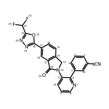 N#Cc1cccc(-c2ncccc2N2Cc3ccc(-c4nnc(C(F)F)o4)cc3C2=O)c1